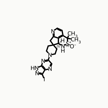 CC1(C)c2ccnc3c2[C@@H](N[S@+]1[O-])C1(CCN(c2cnc4c(I)n[nH]c4n2)CC1)C3